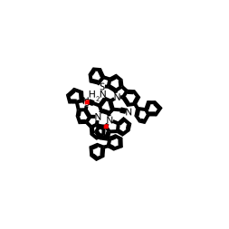 N#Cc1c(-n2c3ccccc3c3ccccc32)c(-n2c3cc(-c4ccccc4-c4ccccc4)ccc3c3ccc4c5ccccc5sc4c32)c(C#N)c(N)c1-n1c2cc(-c3cccc4ccccc34)ccc2c2ccc3c4ccccc4sc3c21